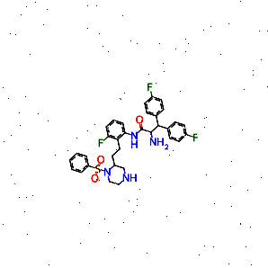 NC(C(=O)Nc1cccc(F)c1CCC1CNCCN1S(=O)(=O)c1ccccc1)C(c1ccc(F)cc1)c1ccc(F)cc1